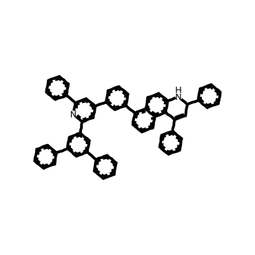 C1=C(c2ccccc2)c2c(ccc3c(-c4cccc(-c5cc(-c6ccccc6)nc(-c6cc(-c7ccccc7)cc(-c7ccccc7)c6)c5)c4)cccc23)NC1c1ccccc1